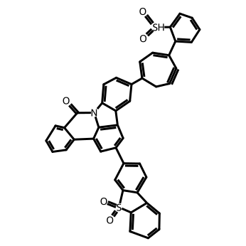 O=c1c2ccccc2c2cc(-c3ccc4c(c3)S(=O)(=O)c3ccccc3-4)cc3c4cc(C5=CC=C(c6ccccc6[SH](=O)=O)C#CC5)ccc4n1c23